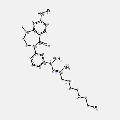 CCNc1ncc2c(n1)N(C)CCN(c1cccc(N(N)/C=C(\N)CNCCOCCO)c1)C2=O